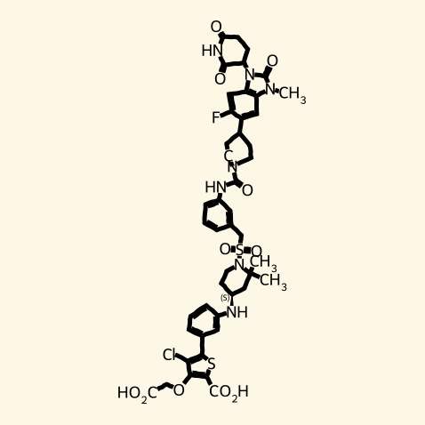 Cn1c(=O)n(C2CCC(=O)NC2=O)c2cc(F)c(C3CCN(C(=O)Nc4cccc(CS(=O)(=O)N5CC[C@H](Nc6cccc(-c7sc(C(=O)O)c(OCC(=O)O)c7Cl)c6)CC5(C)C)c4)CC3)cc21